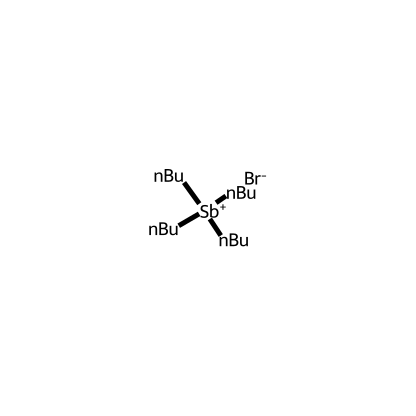 CCC[CH2][Sb+]([CH2]CCC)([CH2]CCC)[CH2]CCC.[Br-]